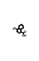 COc1cnc(C(=O)O)c2ccccc12